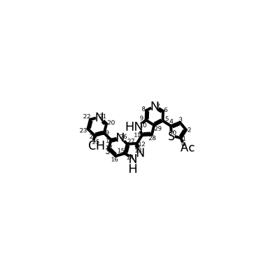 CC(=O)c1ccc(-c2cncc3[nH]c(-c4n[nH]c5ccc(-c6cnccc6C)nc45)cc23)s1